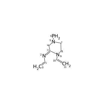 C=C/N=C1/CN(P)CCN1C=C